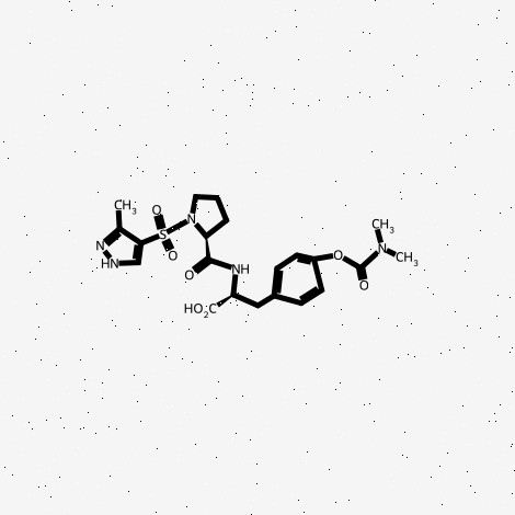 Cc1n[nH]cc1S(=O)(=O)N1CCC[C@H]1C(=O)N[C@@H](Cc1ccc(OC(=O)N(C)C)cc1)C(=O)O